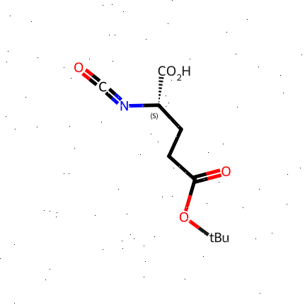 CC(C)(C)OC(=O)CC[C@H](N=C=O)C(=O)O